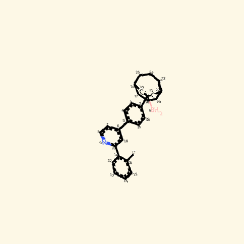 BC1(c2ccc(-c3ccnc(-c4ccccc4C)c3)cc2)CC2CCCC(CCC2)C1